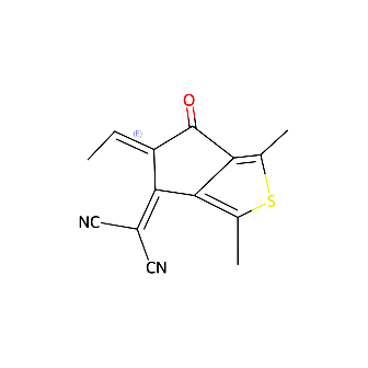 C/C=C1/C(=O)c2c(C)sc(C)c2C1=C(C#N)C#N